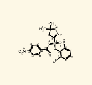 CC1(C)CC(S(=O)(Cc2c(F)cccc2F)=NC(=O)c2ccc([N+](=O)[O-])cc2)=NO1